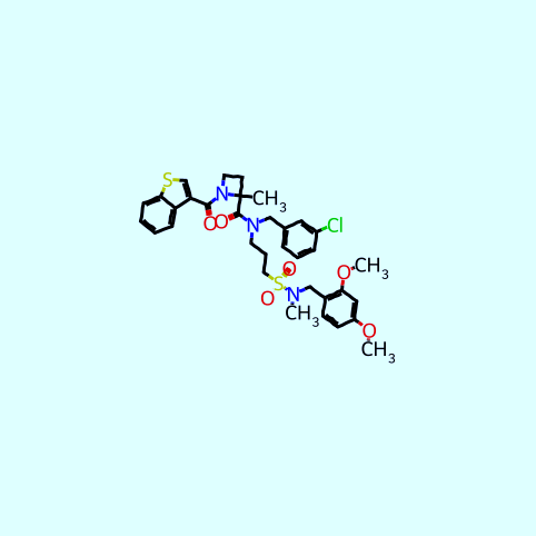 COc1ccc(CN(C)S(=O)(=O)CCCN(Cc2cccc(Cl)c2)C(=O)C2(C)CCN2C(=O)c2csc3ccccc23)c(OC)c1